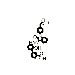 COCc1ccc(N2C(=O)C(=NNc3cccc(-c4cccc(C(=O)O)c4)c3O)c3ccccc32)cc1